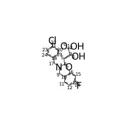 O=C(O)C(O)=CC(=O)N(Cc1ccc(F)cc1)Cc1ccc(Cl)cc1